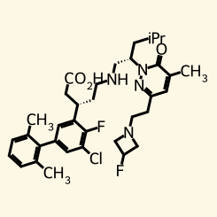 Cc1cccc(C)c1-c1cc(Cl)c(F)c([C@@H](CCNC[C@H](CC(C)C)n2nc(CCN3CC(F)C3)cc(C)c2=O)CC(=O)O)c1